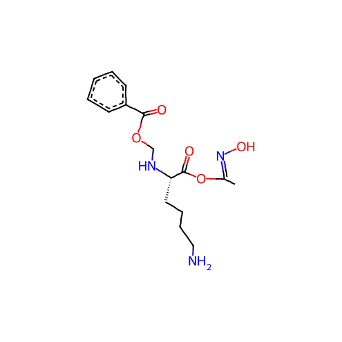 CC(=NO)OC(=O)[C@H](CCCCN)NCOC(=O)c1ccccc1